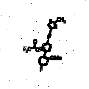 COc1cc(F)ccc1-c1ccc(C#Cc2csc(C)n2)c[n+]1OC(=O)C(F)(F)F